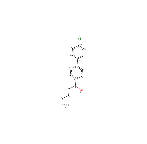 CCOC(=O)CCCC(O)c1ccc(-c2ccc(Cl)cc2)cc1